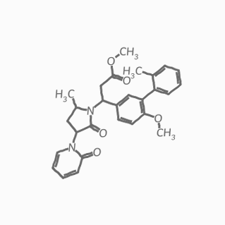 COC(=O)CC(c1ccc(OC)c(-c2ccccc2C)c1)N1C(=O)C(n2ccccc2=O)CC1C